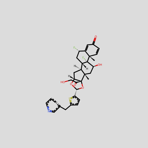 C[C@]12C=CC(=O)C=C1[C@@H](F)C[C@H]1[C@@H]3C[C@H]4O[C@@H](c5ccc(Cc6cccnc6)s5)O[C@@]4(C(=O)CO)[C@@]3(C)C[C@H](O)[C@@]12F